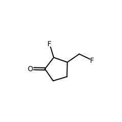 O=C1CCC(CF)C1F